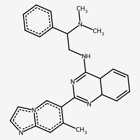 Cc1cc2nccn2cc1C1=NC2C=CC=CC2C(NCC(c2ccccc2)N(C)C)=N1